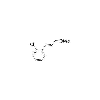 COCC=Cc1ccccc1Cl